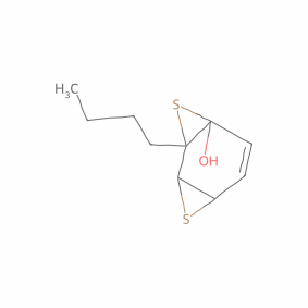 CCCCC12SC1(O)C=CC1SC12